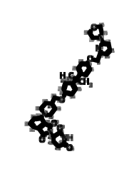 CC(C)(c1ccc(OCc2cccc(N3CCOCC3)n2)cc1)c1ccc(OCC2CCN(c3cccc4c3C(=O)N(C3CCC(=O)NC3=O)C4=O)CC2)cc1